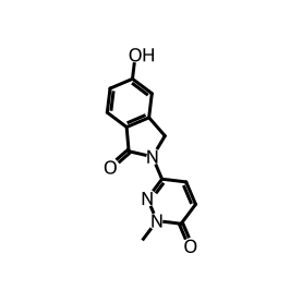 Cn1nc(N2Cc3cc(O)ccc3C2=O)ccc1=O